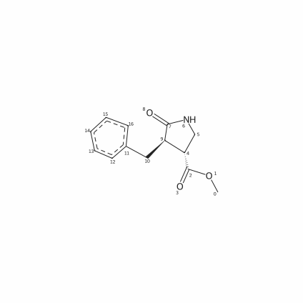 COC(=O)[C@H]1CNC(=O)[C@@H]1Cc1ccccc1